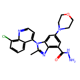 Cc1nc2c(C(=O)NN)cc(N3CCOCC3)cc2n1-c1ccnc2c(Cl)cccc12